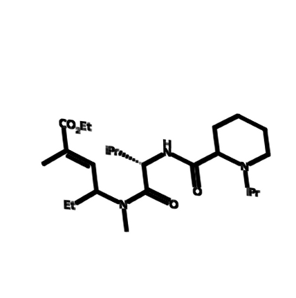 CCOC(=O)/C(C)=C/C(CC)N(C)C(=O)[C@@H](NC(=O)C1CCCCN1C(C)C)C(C)C